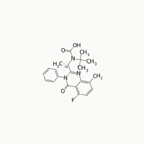 Cc1ccc(F)c2c(=O)n(-c3ccccc3)c([C@H](C)N(C(=O)O)C(C)(C)C)nc12